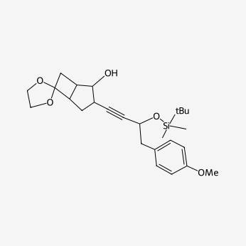 COc1ccc(CC(C#CC2CC3C(CC34OCCO4)C2O)O[Si](C)(C)C(C)(C)C)cc1